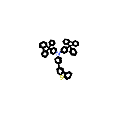 c1ccc(C2(c3ccc(N(c4ccc(-c5ccc6sc7ccccc7c6c5)cc4)c4ccc(C5(c6ccccc6)c6ccccc6-c6ccccc65)cc4)cc3)c3ccccc3-c3ccccc32)cc1